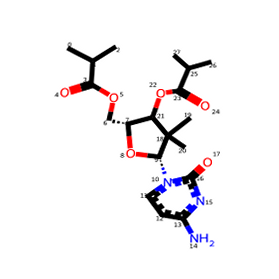 CC(C)C(=O)OC[C@H]1O[C@@H](n2ccc(N)nc2=O)C(C)(C)C1OC(=O)C(C)C